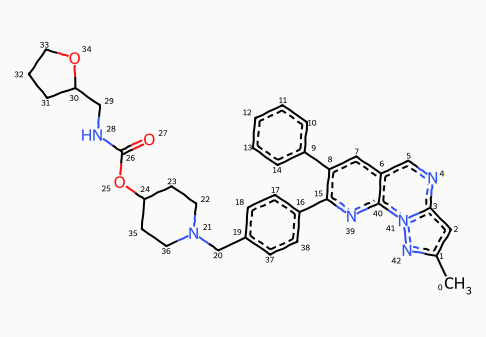 Cc1cc2ncc3cc(-c4ccccc4)c(-c4ccc(CN5CCC(OC(=O)NCC6CCCO6)CC5)cc4)nc3n2n1